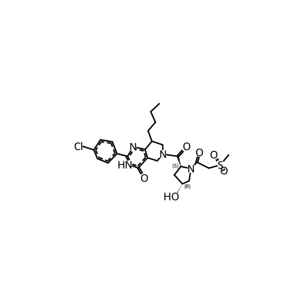 CCCCC1CN(C(=O)[C@@H]2C[C@@H](O)CN2C(=O)CS(C)(=O)=O)Cc2c1nc(-c1ccc(Cl)cc1)[nH]c2=O